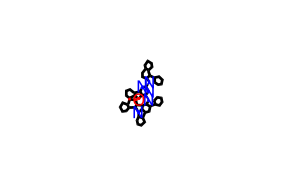 c1ccc2c(c1)ccc1c2c2ccccc2n1-c1nc(-n2c3ccccc3c3cc4c5ccccc5n5c6c7ccccc7ccc6c(c32)c45)c2oc3ccccc3c2n1